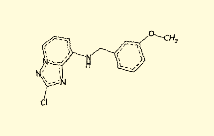 COc1cccc(CNc2cccn3nc(Cl)nc23)c1